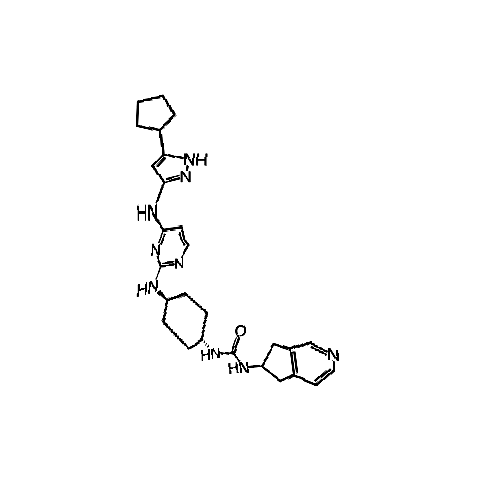 O=C(NC1Cc2ccncc2C1)N[C@H]1CC[C@H](Nc2nccc(Nc3cc(C4CCCC4)[nH]n3)n2)CC1